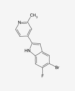 Cc1cc(-c2cc3cc(Br)c(F)cc3[nH]2)ccn1